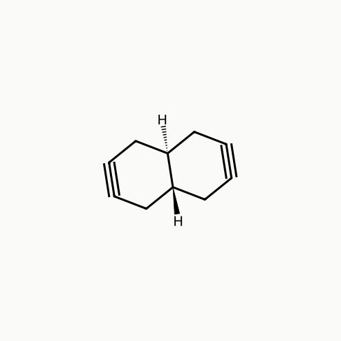 C1#CC[C@H]2CC#CC[C@@H]2C1